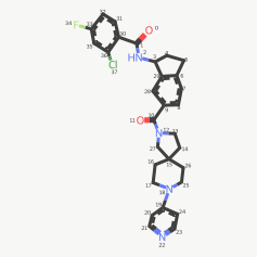 O=C(NC1CCc2ccc(C(=O)N3CCC4(CCN(c5ccncc5)CC4)C3)cc21)c1ccc(F)cc1Cl